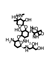 CN[C@@H]1C(O)[C@@H](OC2C(O)C(O[C@H]3O[C@H](CNCC(O)CO)CCC3N)[C@@H](N)C[C@H]2NC(=N)C2(O)COC2)OCC1(C)O